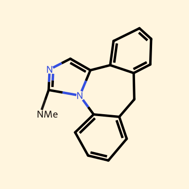 CNc1ncc2n1-c1ccccc1Cc1ccccc1-2